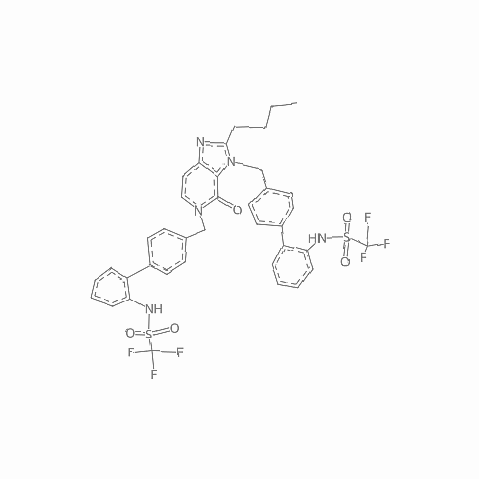 CCCCc1nc2ccn(Cc3ccc(-c4ccccc4NS(=O)(=O)C(F)(F)F)cc3)c(=O)c2n1Cc1ccc(-c2ccccc2NS(=O)(=O)C(F)(F)F)cc1